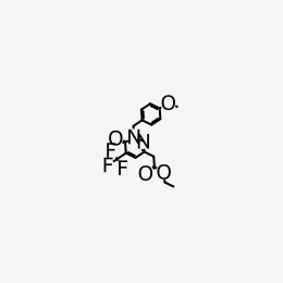 CCOC(=O)Cc1cc(C(F)(F)F)c(=O)n(Cc2ccc(OC)cc2)n1